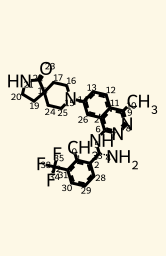 Cc1c([C@@H](N)Nc2nnc(C)c3ccc(N4CCC5(CCNC5=O)CC4)cc23)cccc1C(F)(F)F